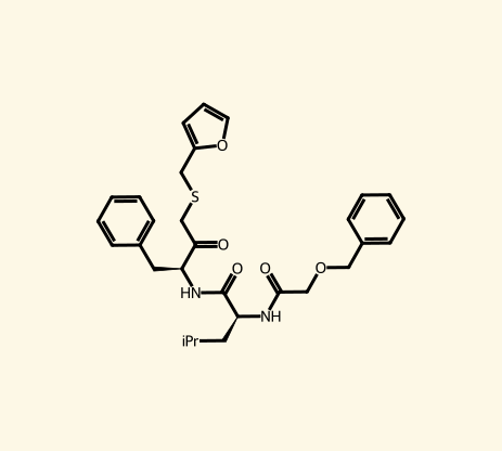 CC(C)C[C@H](NC(=O)COCc1ccccc1)C(=O)N[C@@H](Cc1ccccc1)C(=O)CSCc1ccco1